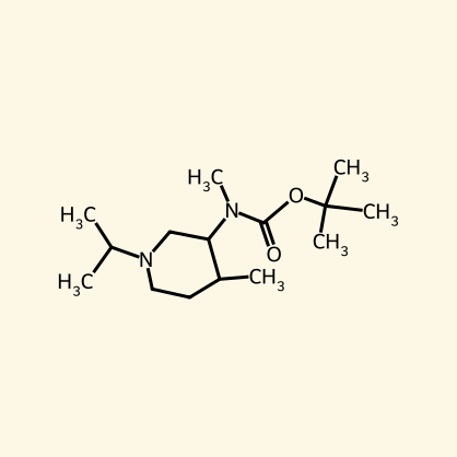 CC1CCN(C(C)C)CC1N(C)C(=O)OC(C)(C)C